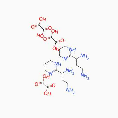 NCCC(N)C1=NCCCN1.NCCC(N)C1=NCCCN1.O=C(O)C(=O)O.O=C(O)C(=O)O.O=C(O)C(=O)O